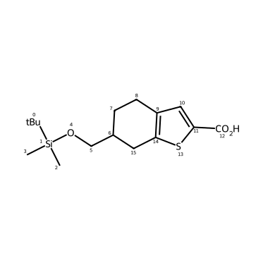 CC(C)(C)[Si](C)(C)OCC1CCc2cc(C(=O)O)sc2C1